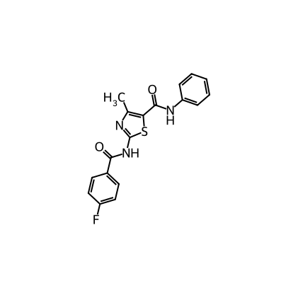 Cc1nc(NC(=O)c2ccc(F)cc2)sc1C(=O)Nc1ccccc1